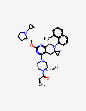 C=CC(=O)N1CCN(c2nc(OC[C@@H]3CCCN3C3CC3)nc3c2CC2(CC2)N(c2cccc4cccc(C)c24)C3)C[C@@H]1CC#N